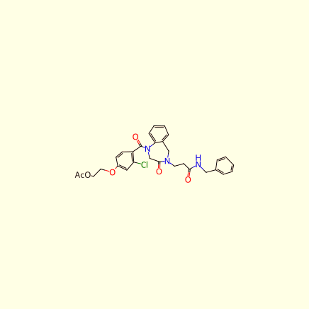 CC(=O)OCCOc1ccc(C(=O)N2CC(=O)N(CCC(=O)NCc3ccccc3)Cc3ccccc32)c(Cl)c1